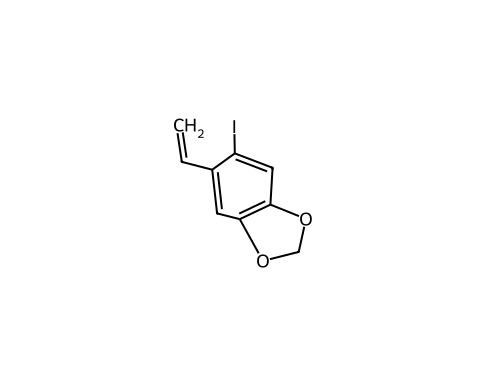 C=Cc1cc2c(cc1I)OCO2